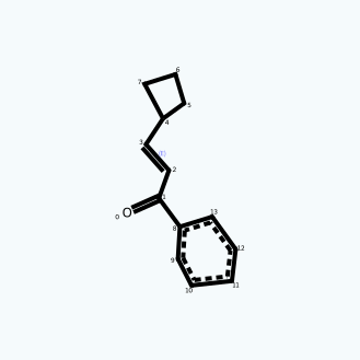 O=C(/C=C/C1CCC1)c1ccccc1